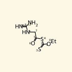 CCOC(=S)SC(=O)CNC(=N)N